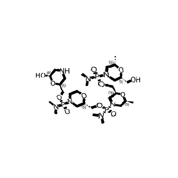 C[C@H]1CN(P(=O)(OC[C@@H]2CN(P(=O)(OC[C@@H]3CN(P(=O)(OC[C@@H]4CNC[C@H](O)O4)N(C)C)CCO3)N(C)C)C[C@H](C)O2)N(C)C)C[C@@H](CO)O1